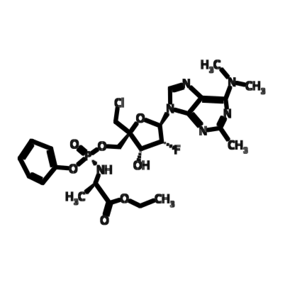 CCOC(=O)[C@@H](C)N[P@](=O)(OC[C@@]1(CCl)O[C@@H](n2cnc3c(N(C)C)nc(C)nc32)[C@H](F)[C@@H]1O)Oc1ccccc1